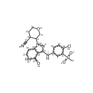 CS(=O)(=O)c1cc(Nc2nn(C3COCCC3C#N)c3cc[nH]c(=O)c23)ccc1Cl